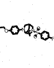 CCOc1ccc(N2CC3CN(S(=O)(=O)c4ccc(F)cc4)CC2C(C)(C)C3)cc1